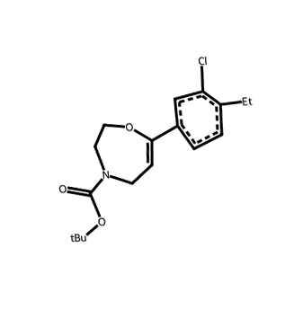 CCc1ccc(C2=CCN(C(=O)OC(C)(C)C)CCO2)cc1Cl